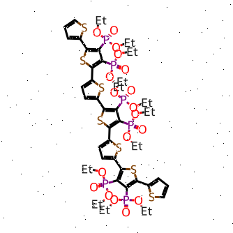 CCOP(=O)(OCC)c1c(-c2cccs2)sc(-c2ccc(-c3sc(-c4ccc(-c5sc(-c6cccs6)c(P(=O)(OCC)OCC)c5P(=O)(OCC)OCC)s4)c(P(=O)(OCC)OCC)c3P(=O)(OCC)OCC)s2)c1P(=O)(OCC)OCC